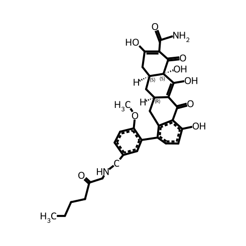 CCCCC(=O)CNCc1ccc(OC)c(-c2ccc(O)c3c2C[C@H]2C[C@H]4CC(O)=C(C(N)=O)C(=O)[C@@]4(O)C(O)=C2C3=O)c1